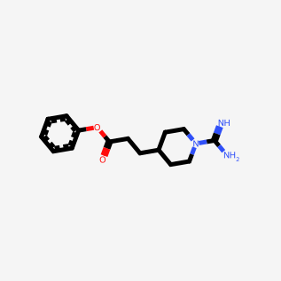 N=C(N)N1CCC(CCC(=O)Oc2ccccc2)CC1